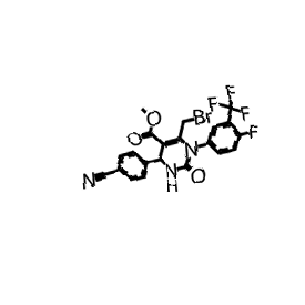 COC(=O)C1=C(CBr)N(c2ccc(F)c(C(F)(F)F)c2)C(=O)NC1c1ccc(C#N)cc1